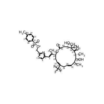 C/C(=C\c1csc(COS(=O)(=O)c2ccc(C)cc2)n1)[C@@H]1C/C=C(/C(F)(F)F)C/C=C/[C@H](C)[C@H](O)[C@@H](C)C(=O)C(C)(C)[C@@H](O)CC(=O)O1